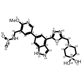 COc1ncc(-c2cc(-c3nnc(CN4CCS(O)(O)CC4)o3)c3cn[nH]c3c2)cc1CN[SH](=O)=O